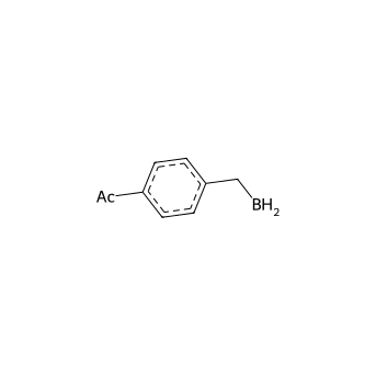 BCc1ccc(C(C)=O)cc1